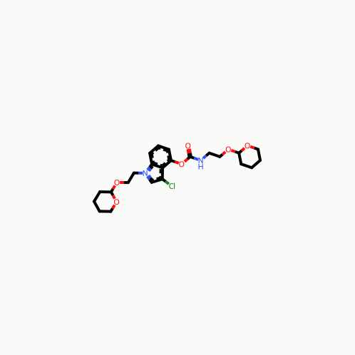 O=C(NCCOC1CCCCO1)Oc1cccc2c1c(Cl)cn2CCOC1CCCCO1